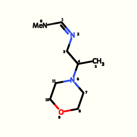 CN/C=N\CC(C)N1CCOCC1